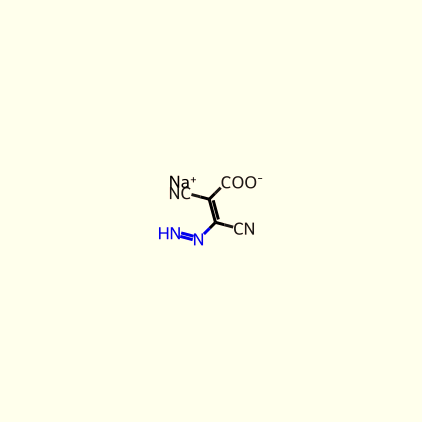 N#CC(N=N)=C(C#N)C(=O)[O-].[Na+]